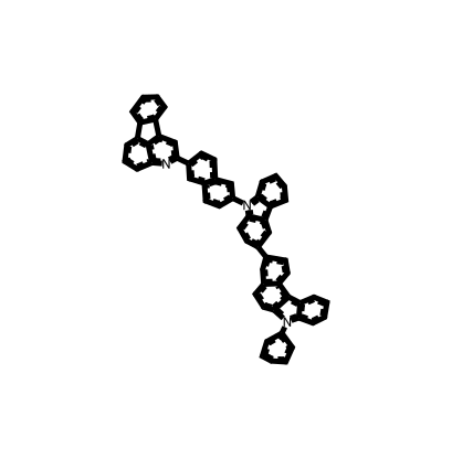 c1ccc(-n2c3ccccc3c3c4ccc(-c5ccc6c(c5)c5ccccc5n6-c5ccc6cc(-c7cc8c9c(cccc9n7)-c7ccccc7-8)ccc6c5)cc4ccc32)cc1